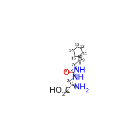 N[C@@H](CNC(=O)NCC1CC12CCCCC2)C(=O)O